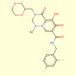 CC(=O)N1CN(CC2COCCO2)C(=O)c2c(O)c(=O)c(C(=O)NCc3ccc(F)cc3F)cn21